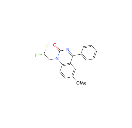 COc1ccc2c(c1)c(-c1ccccc1)nc(=O)n2CC(F)F